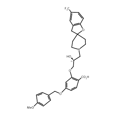 COc1ccc(COc2ccc(C(=O)O)c(OC[C@@H](O)CN3CCC4(CC3)Cc3cc(C(F)(F)F)ccc3O4)c2)cc1